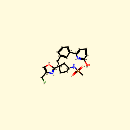 CS(=O)(=O)N[C@H]1CC[C@](Cc2cccc(-c3cccc(O)n3)c2)(c2nc(CCl)co2)C1